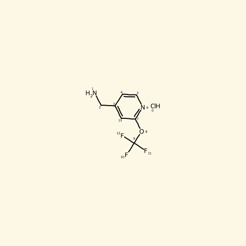 Cl.NCc1ccnc(OC(F)(F)F)c1